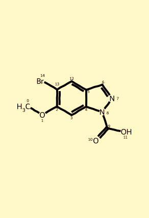 COc1cc2c(cnn2C(=O)O)cc1Br